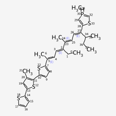 CCC(=C\C=C(/C)c1ccc(-c2sc(-c3cccs3)cc2C)s1)/C(C)=C/C=C(/C1=C[PH](C)=CS1)C(C)CC